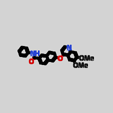 COc1cc2nccc(Oc3ccc4cc(C(=O)Nc5ccccc5)ccc4c3)c2cc1OC